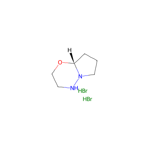 Br.Br.C1C[C@H]2OCCNN2C1